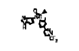 Cc1cc(-c2ccc(C(F)(F)F)nn2)ccc1[C@H]1[C@@H](C2CC2)C(=O)N1c1ccc2[nH]cnc2c1